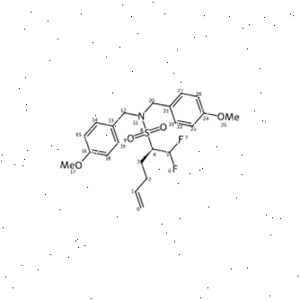 C=CCC[C@H](C(F)F)S(=O)(=O)N(Cc1ccc(OC)cc1)Cc1ccc(OC)cc1